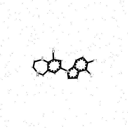 Fc1ccc2c(ccn2-c2cc(Cl)c3c(c2)CNCCO3)c1F